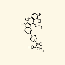 CC(c1c(Cl)ccc(F)c1Cl)c1c[nH]c2ncc(C3=CCN(C(=O)[C@H](C)O)CC3)cc12